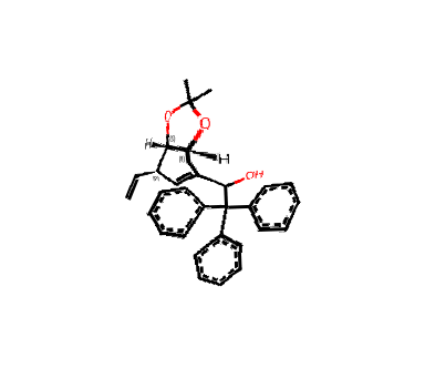 C=C[C@@H]1C=C(C(O)C(c2ccccc2)(c2ccccc2)c2ccccc2)[C@H]2OC(C)(C)O[C@@H]12